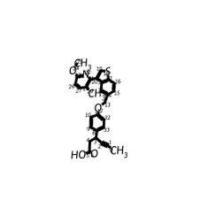 CC#CC(CC(=O)O)c1ccc(OCc2ccc3scc(-c4nc(OC)ccc4C)c3c2)cc1